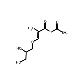 BC(=O)OC(=O)C(C)=COCC(O)CO